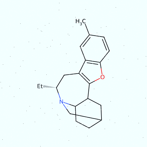 CC[C@@H]1Cc2c(oc3ccc(C)cc23)C2CC3CCC2N1C3